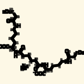 CCCCCCCCCCCC(=O)NCCCC[C@@H](NC(=O)CCCCC(=O)N[C@H](CCCCNC(=O)CCCCCCCCCCC)C(=O)[O-])C(=O)[O-].[Na+].[Na+]